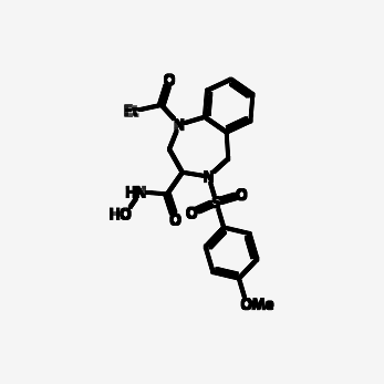 CCC(=O)N1CC(C(=O)NO)N(S(=O)(=O)c2ccc(OC)cc2)Cc2ccccc21